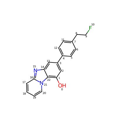 Oc1cc(-c2ccc(CCF)cc2)cc2nc3ccccn3c12